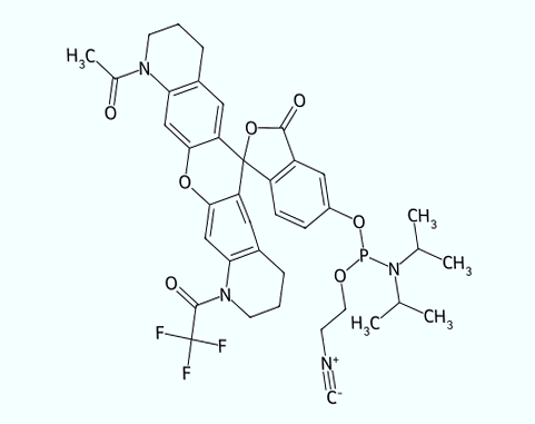 [C-]#[N+]CCOP(Oc1ccc2c(c1)C(=O)OC21c2cc3c(cc2Oc2cc4c(cc21)CCCN4C(=O)C(F)(F)F)N(C(C)=O)CCC3)N(C(C)C)C(C)C